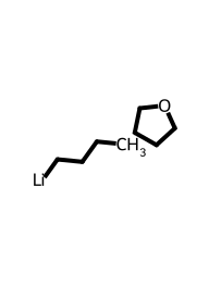 C1CCOC1.[Li][CH2]CCC